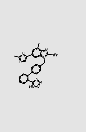 CCCc1nc2c(C)cc(-c3coc(C)n3)cc2n1Cc1ccc(-c2ccccc2-c2nnn[nH]2)cc1